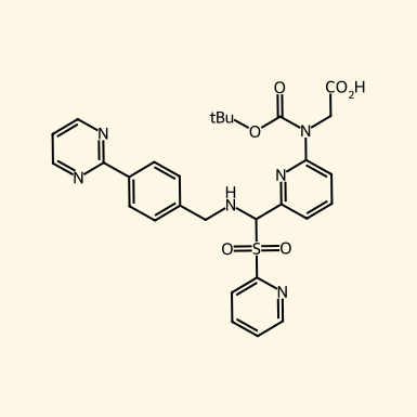 CC(C)(C)OC(=O)N(CC(=O)O)c1cccc(C(NCc2ccc(-c3ncccn3)cc2)S(=O)(=O)c2ccccn2)n1